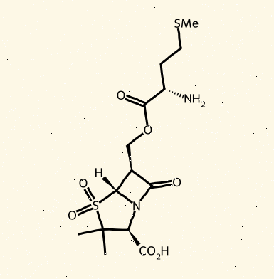 CSCC[C@H](N)C(=O)OC[C@H]1C(=O)N2[C@@H](C(=O)O)C(C)(C)S(=O)(=O)[C@H]12